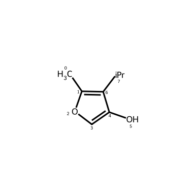 Cc1occ(O)c1C(C)C